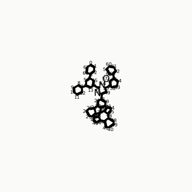 c1ccc(-c2cc(-c3ccccc3)cc(-c3nc(-c4ccc5c(c4)-c4ccccc4C54c5ccccc5-c5ccccc5-c5ccccc54)cc(-c4cccc5c4oc4ccccc45)n3)c2)cc1